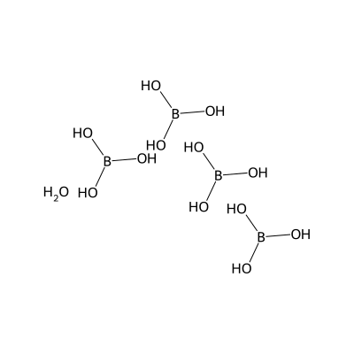 O.OB(O)O.OB(O)O.OB(O)O.OB(O)O